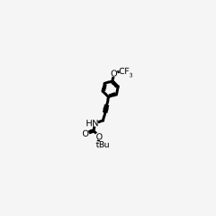 CC(C)(C)OC(=O)NCC#Cc1ccc(OC(F)(F)F)cc1